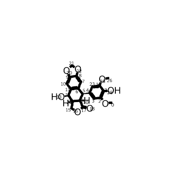 COc1cc([C@@H]2c3cc4c(cc3[C@H](O)[C@H]3COC(=O)[C@@H]23)OCO4)cc(OC)c1O